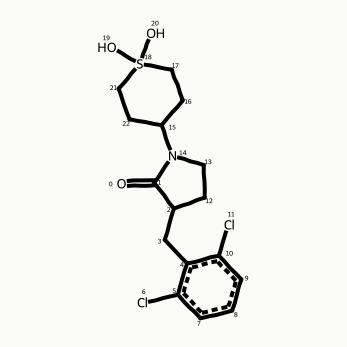 O=C1C(Cc2c(Cl)cccc2Cl)CCN1C1CCS(O)(O)CC1